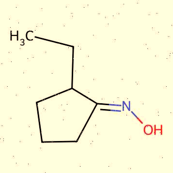 CCC1CCC/C1=N\O